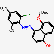 CCCCCCCCCCOc1cccc2c(O)ccc(/N=N/c3c(Br)cc([N+](=O)[O-])cc3C#N)c12